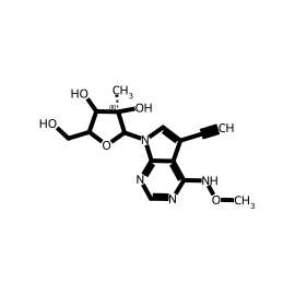 C#Cc1cn(C2OC(CO)C(O)[C@@]2(C)O)c2ncnc(NOC)c12